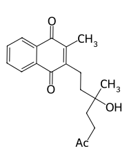 CC(=O)CCC(C)(O)CCC1=C(C)C(=O)c2ccccc2C1=O